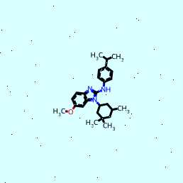 COc1ccc2nc(Nc3ccc(C(C)C)cc3)n(C3CC(C)CC(C)(C)C3)c2c1